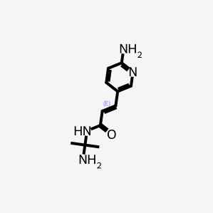 CC(C)(N)NC(=O)/C=C/c1ccc(N)nc1